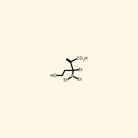 C=C(C(=O)O)C(CC)(CCO)N(CC)CC